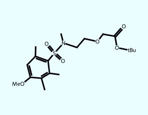 COc1cc(C)c(S(=O)(=O)N(C)CCOCC(=O)OC(C)(C)C)c(C)c1C